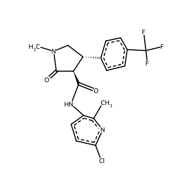 Cc1nc(Cl)ccc1NC(=O)[C@H]1C(=O)N(C)C[C@@H]1c1ccc(C(F)(F)F)cc1